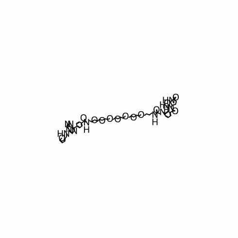 O=C(CNc1cccc2c1C(=O)N(C1CCC(=O)NC1=O)C2=O)NCCCCOCCOCCOCCOCCOCCOCCOCCNC(=O)c1ccc(-c2ncc(NCc3ccco3)n3cnnc23)cc1